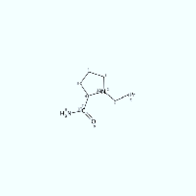 CC(C)C[15N]1CCCC1[13C](N)=O